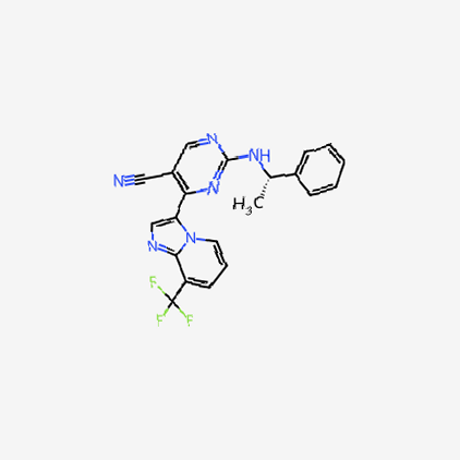 C[C@H](Nc1ncc(C#N)c(-c2cnc3c(C(F)(F)F)cccn23)n1)c1ccccc1